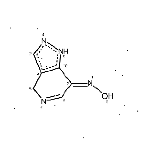 ON=C1C=NCc2cn[nH]c21